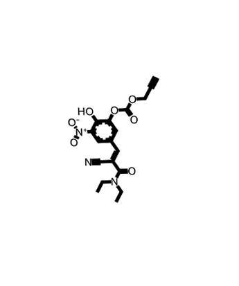 C#CCOC(=O)Oc1cc(/C=C(\C#N)C(=O)N(CC)CC)cc([N+](=O)[O-])c1O